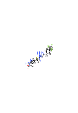 N[C@H](CNc1ncc(-c2cnc3c(c2)CC(=O)N3)s1)Cc1ccc(C(F)(F)F)cc1